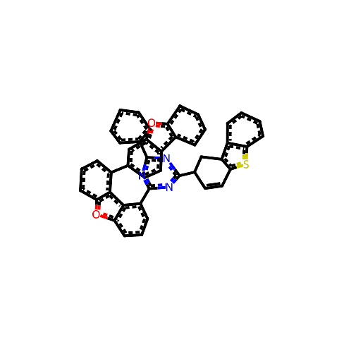 C1=CC(c2nc(-c3ccccc3)nc(-c3cccc4oc5cccc(-c6ccc7c(c6)oc6ccccc67)c5c34)n2)Cc2c1sc1ccccc21